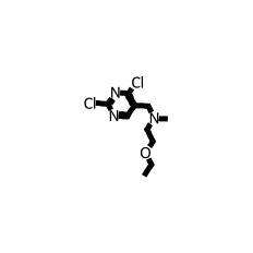 CCOCCN(C)Cc1cnc(Cl)nc1Cl